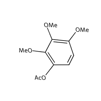 COc1ccc(OC(C)=O)c(OC)c1OC